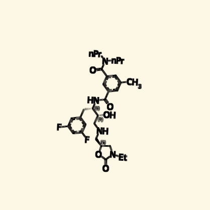 CCCN(CCC)C(=O)c1cc(C)cc(C(=O)N[C@@H](Cc2cc(F)cc(F)c2)[C@H](O)CNC[C@H]2CN(CC)C(=O)O2)c1